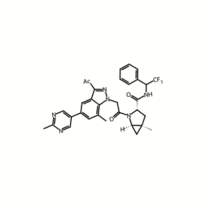 CC(=O)c1nn(CC(=O)N2[C@H](C(=O)NC(c3ccccc3)C(F)(F)F)C[C@@]3(C)C[C@@H]23)c2c(C)cc(-c3cnc(C)nc3)cc12